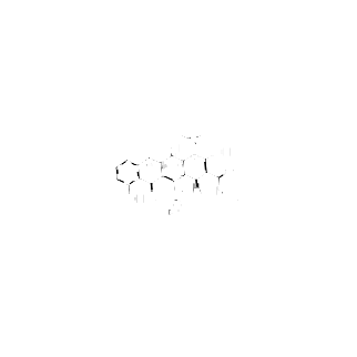 Br.C[C@H]1c2cccc(O)c2C(=O)C2=C(O)[C@]3(O)C(=O)C(C(N)=O)=C(O)[C@@H](N(C)C)[C@@H]3[C@@H](O)[C@@H]21.O